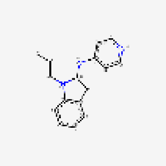 CCCN1c2ccccc2CC1[N]c1ccncc1